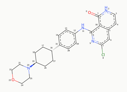 O=c1[nH]ccc2cc(Cl)nc(Nc3ccc([C@H]4CC[C@H](N5CCOCC5)CC4)cc3)c12